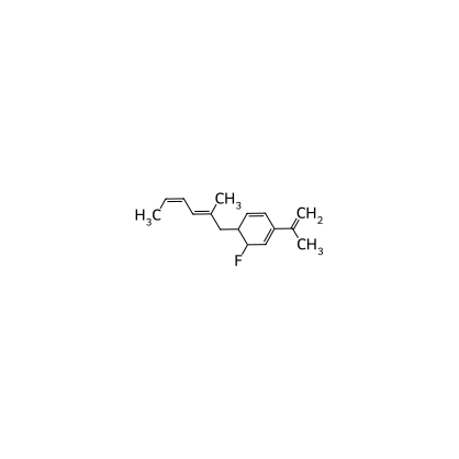 C=C(C)C1=CC(F)C(C/C(C)=C/C=C\C)C=C1